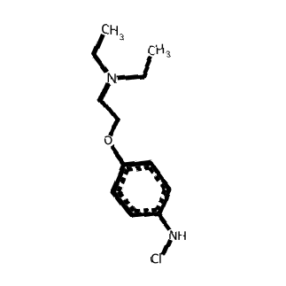 CCN(CC)CCOc1ccc(NCl)cc1